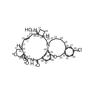 O=C1NS(=O)(=O)[C@H]2COC[C@@H]2C/C=C/[C@H](O)[C@@H]2CC[C@H]2CN2CCCCc3cc(Cl)ccc3COc3ccc1cc32